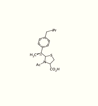 CC(=O)N1C(C(=O)O)CSC1[C@@H](C)c1ccc(CC(C)C)cc1